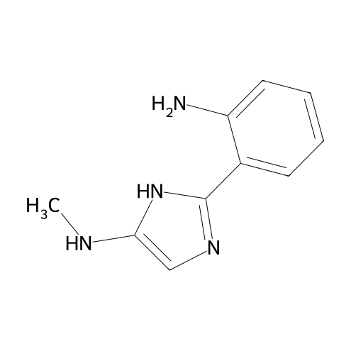 CNc1cnc(-c2ccccc2N)[nH]1